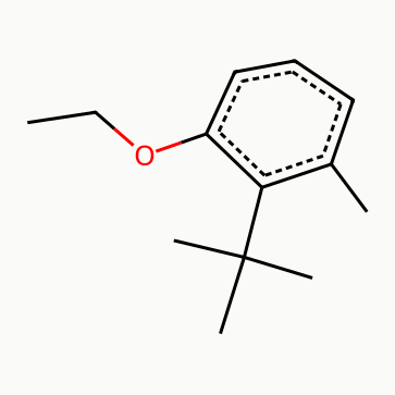 CCOc1cccc(C)c1C(C)(C)C